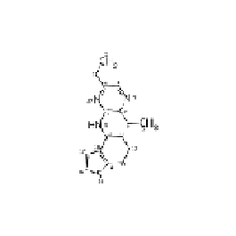 CCc1cnc(CC)c(NC2CCCc3sccc32)n1